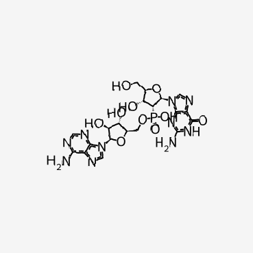 Nc1nc2c(ncn2[C@@H]2OC(CO)[C@@H](O)[C@H]2P(=O)(O)OC[C@H]2O[C@@H](n3cnc4c(N)ncnc43)[C@@H](O)[C@@H]2O)c(=O)[nH]1